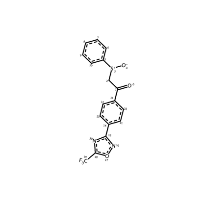 O=C(C[S+]([O-])c1ccccc1)c1ccc(-c2noc(C(F)(F)F)n2)cc1